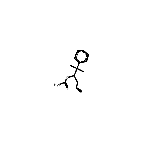 C=CCC(OC(N)=O)C(C)(C)c1ccccc1